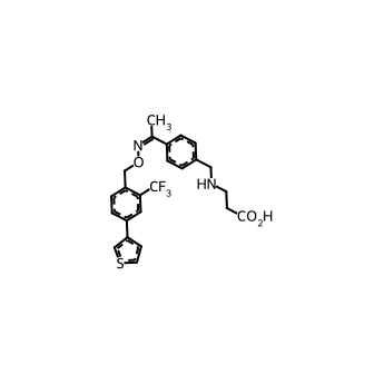 CC(=NOCc1ccc(-c2ccsc2)cc1C(F)(F)F)c1ccc(CNCCC(=O)O)cc1